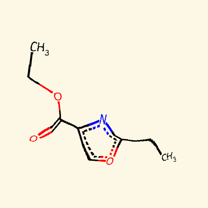 CCOC(=O)c1coc(CC)n1